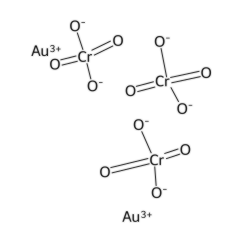 [Au+3].[Au+3].[O]=[Cr](=[O])([O-])[O-].[O]=[Cr](=[O])([O-])[O-].[O]=[Cr](=[O])([O-])[O-]